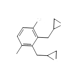 Cc1ccc(N)c(CC2CO2)c1CC1CO1